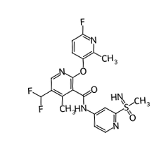 Cc1nc(F)ccc1Oc1ncc(C(F)F)c(C)c1C(=O)Nc1ccnc(S(C)(=N)=O)c1